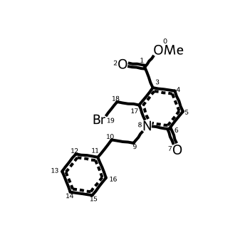 COC(=O)c1ccc(=O)n(CCc2ccccc2)c1CBr